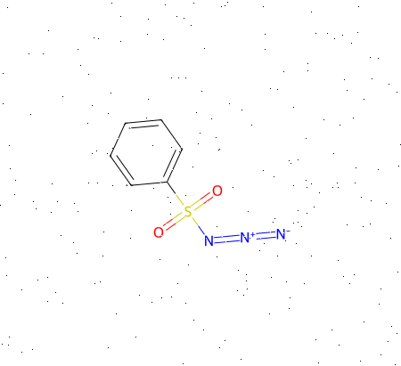 [N-]=[N+]=NS(=O)(=O)c1[c]cccc1